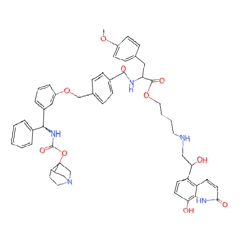 COc1ccc(CC(NC(=O)c2ccc(COc3cccc([C@@H](NC(=O)OC4CN5CCC4CC5)c4ccccc4)c3)cc2)C(=O)OCCCCNCC(O)c2ccc(O)c3[nH]c(=O)ccc23)cc1